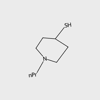 CCCN1CCC(S)CC1